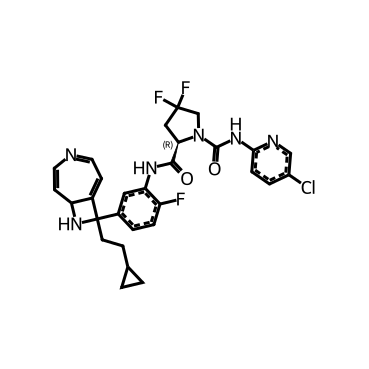 O=C(Nc1cc(C2(CCC3CC3)NC3C=CN=CC=C32)ccc1F)[C@H]1CC(F)(F)CN1C(=O)Nc1ccc(Cl)cn1